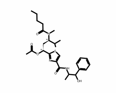 CCCCC(=O)N(C)[C@H](C[C@@H](OC(C)=O)c1nc(C(=O)NC(C)C(O)c2ccccc2)cs1)C(C)C